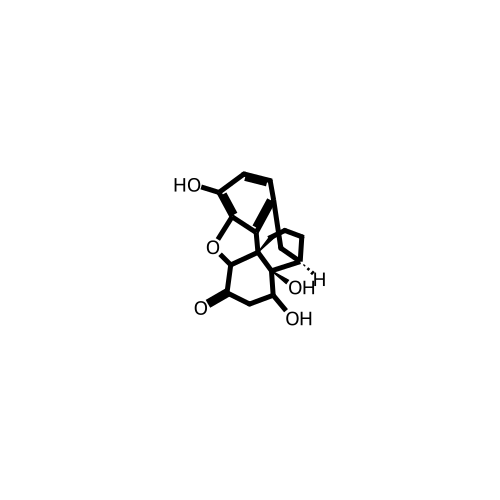 O=C1CC(O)[C@@]2(O)[C@@H]3CCC[C@@]24c2c(ccc(O)c2OC14)C3